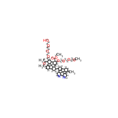 CCOC(=O)c1cc(C2(c3ccc(COCCOCCOCCO)c(C(C)=O)c3)c3cc(C)ccc3-c3ccc(-c4ccc5c(c4)C4(c6cc(C)ccc6-5)c5cccnc5-c5ncccc54)cc32)ccc1OCCOCCOCCOC